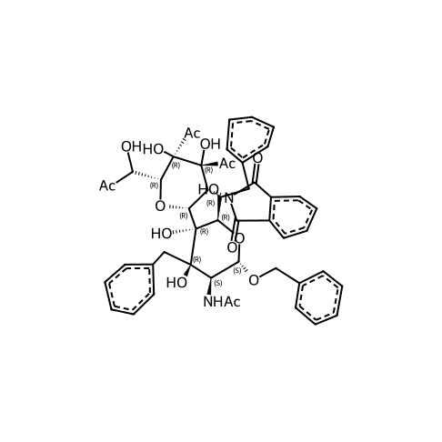 CC(=O)N[C@@H]1[C@@H](OCc2ccccc2)O[C@H](C(O)Cc2ccccc2)[C@](O)([C@@H]2O[C@H](C(O)C(C)=O)[C@](O)(C(C)=O)[C@@](O)(C(C)=O)[C@@H]2N2C(=O)c3ccccc3C2=O)[C@@]1(O)Cc1ccccc1